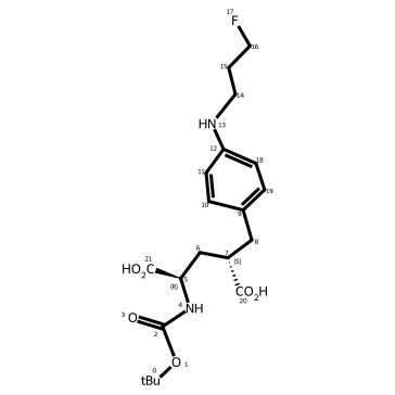 CC(C)(C)OC(=O)N[C@H](C[C@H](Cc1ccc(NCCCF)cc1)C(=O)O)C(=O)O